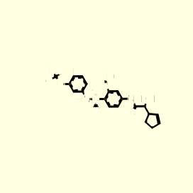 CCOc1cc(NC(=O)C(O)C2C=CCC2)ccc1S(=O)(=O)Nc1cccc(OC(C)(C)F)c1